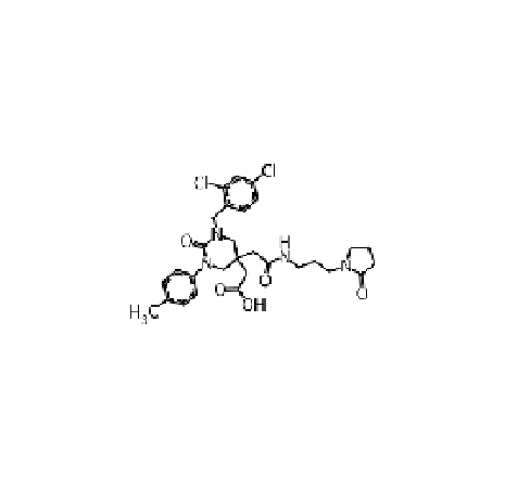 Cc1ccc(N2CC(CC(=O)O)(CC(=O)NCCCN3CCCC3=O)CN(Cc3ccc(Cl)cc3Cl)C2=O)cc1